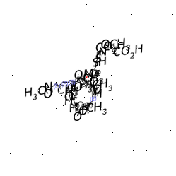 CO[C@@H](/C(C)=C/C=C/C(C)=C/c1coc(C)n1)[C@@H](C)[C@@H]1C[C@H](OC(=O)OCCSSC[C@H](NC(=O)[C@@H](C)CC(=O)O)C(=O)O)[C@@]2(C)O[C@@H]2/C=C/[C@@H](C)[C@H]2C[C@H](CC(=O)O2)C[C@@H]2O[C@H]2C(=O)O1